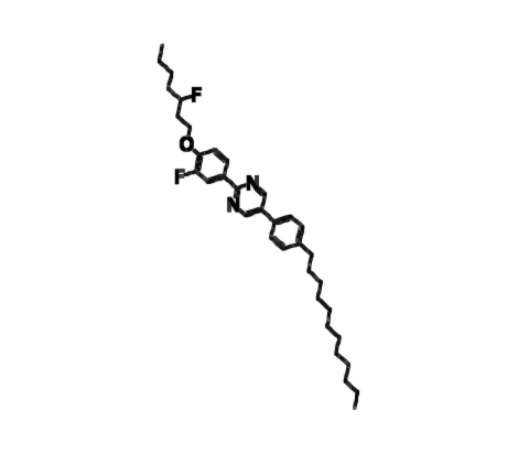 CCCCCCCCCCCCc1ccc(-c2cnc(-c3ccc(OCCC(F)CCCC)c(F)c3)nc2)cc1